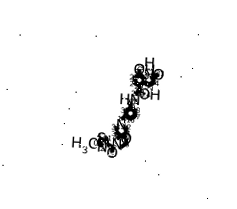 Cc1nc(C(=O)N2CCOC3(CCN(Cc4cccc(CNC[C@H](O)c5ccc(O)c6[nH]c(=O)ccc56)c4)CC3)C2)cs1